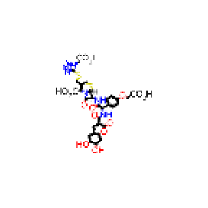 O=C(O)COc1ccc(C(NC(=O)c2cc3cc(O)c(O)cc3oc2=O)C(=O)N[C@@H]2C(=O)N3C(C(=O)O)=C(CSc4nnnn4CC(=O)O)CS[C@H]23)cc1